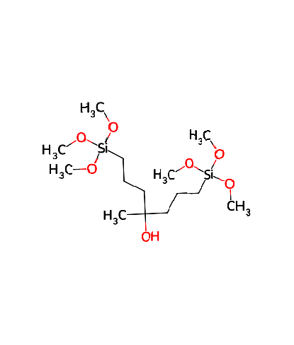 CO[Si](CCCC(C)(O)CCC[Si](OC)(OC)OC)(OC)OC